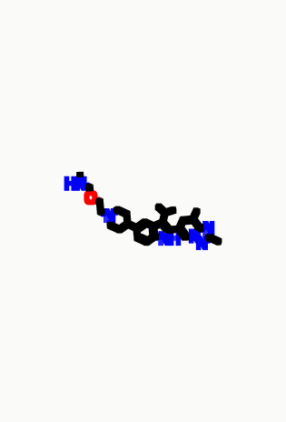 CNCOCCN1CCC(c2ccc3[nH]c(-c4cc(C)c5nc(C)nn5c4)c(C(C)C)c3c2)CC1